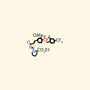 CCOC(=O)C1CCCCN1C1=NC(=O)C(=Cc2ccc(OCc3ccc(C(F)(F)F)cc3C(F)(F)F)c(OC)c2)S1